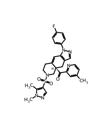 Cc1ccnc(C(=O)[C@]23Cc4cnn(-c5ccc(F)cc5)c4C=C2CCN(S(=O)(=O)c2cnn(C)c2C)C3)c1